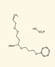 C=CCOOCCC(CCCCCCCCC)OCCCOc1ccccc1.O=S(=O)(O)O